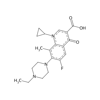 CCN1CCN(c2c(F)cc3c(=O)c(C(=O)O)cn(C4CC4)c3c2C)CC1